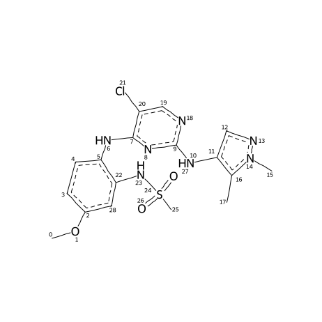 COc1ccc(Nc2nc(Nc3cnn(C)c3C)ncc2Cl)c(NS(C)(=O)=O)c1